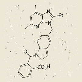 CCc1nc2c(C)cc(C)nc2n1CC1=CC2=CCN(C(=O)c3ccccc3C(=O)O)C2C=C1